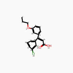 CCCOc1cccc(/C(=C/C(=O)O)c2cccc(Cl)c2)c1